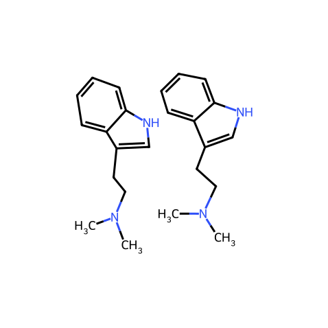 CN(C)CCc1c[nH]c2ccccc12.CN(C)CCc1c[nH]c2ccccc12